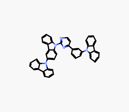 c1cc(-c2ccnc(-n3c4ccccc4c4cc(-n5c6ccccc6c6ccccc65)ccc43)n2)cc(-n2c3ccccc3c3ccccc32)c1